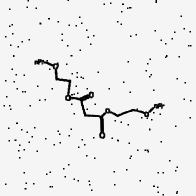 CCCOCCOC(=O)CC(=O)OCCOCCC